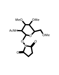 COCC1OC(ON2C(=O)CCC2=O)C(NC(C)=O)C(OC)C1OC